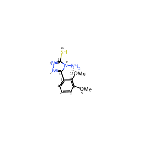 COc1cccc(-c2nnc(S)n2N)c1OC